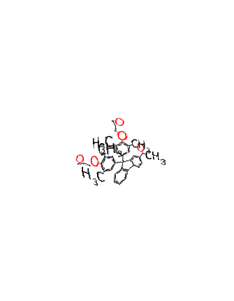 CC(=O)c1ccc2c(c1)C(c1cc(C)c(OCC3CO3)c(C)c1)(c1cc(C)c(OCC3CO3)c(C)c1)c1ccccc1-2